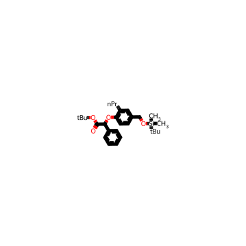 CCCc1cc(CO[Si](C)(C)C(C)(C)C)ccc1OC(C(=O)OC(C)(C)C)c1ccccc1